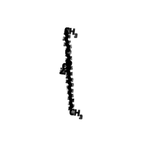 CCCCCCCCCCCCCCCCCC(=O)OCCCCCCCCCCCC.[Zn]